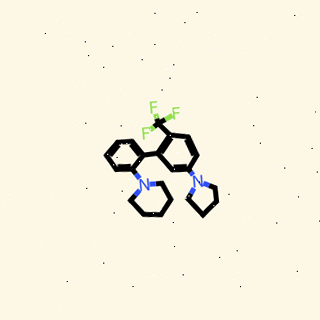 FC(F)(F)c1ccc(N2CCCC2)cc1-c1ccccc1N1CCCCC1